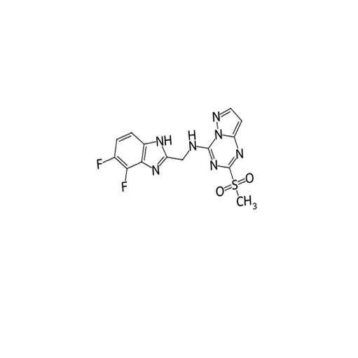 CS(=O)(=O)c1nc(NCc2nc3c(F)c(F)ccc3[nH]2)n2nccc2n1